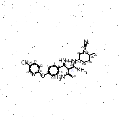 C=C(N)/C(C(=N)c1ccc(Oc2ccc(Cl)cn2)cc1)=C(\N)NC1CCC(C)N(C#N)C1